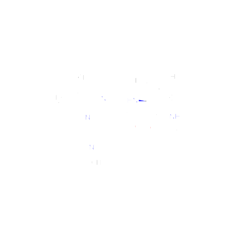 C=C(C)c1nc(C(=O)N[C@H](C(=O)NC)C(C)(C)C)c2n1CCN(C)C2